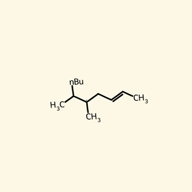 CC=CC[C](C)C(C)CCCC